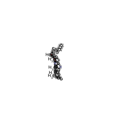 C=C(COC(=O)c1ccc2cc3ccccc3cc2c1)C[C@@H]1C[C@H](O)[C@@H]2O[C@@H]3C[C@]4(C)O[C@@H]5/C=C\C[C@@H]6O[C@H]7C(C/C=C\CC6OC5CCCC4OC3CC2O1)OC1CC2OC3CC(=O)O[C@H]3C[C@@H](C)C[C@@]2(C)O[C@H]1C[C@@H]7C